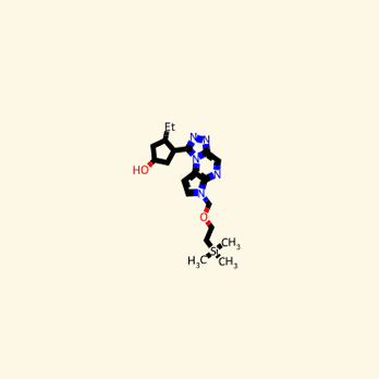 CCC1CC(O)CC1c1nnc2cnc3c(ccn3COCC[Si](C)(C)C)n12